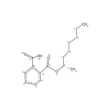 CCCCCC[C@H](C)OC(=O)c1ccccc1C(=O)O